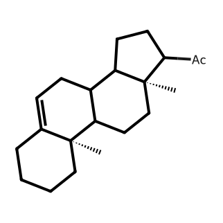 CC(=O)C1CCC2C3CC=C4CCCC[C@]4(C)C3CC[C@]12C